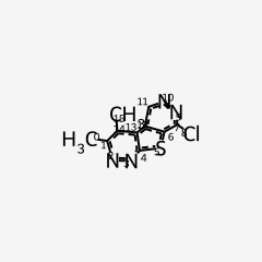 Cc1nnc2sc3c(Cl)nncc3c2c1C